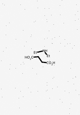 CCNCC.O=C(O)CCC(=O)O